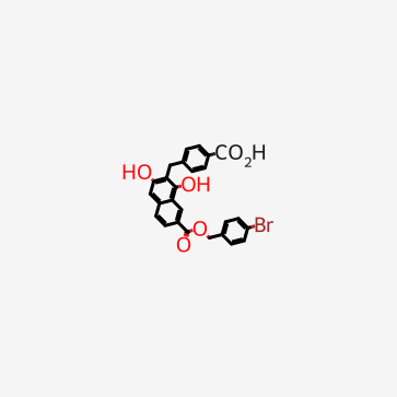 O=C(O)c1ccc(Cc2c(O)cc3ccc(C(=O)OCc4ccc(Br)cc4)cc3c2O)cc1